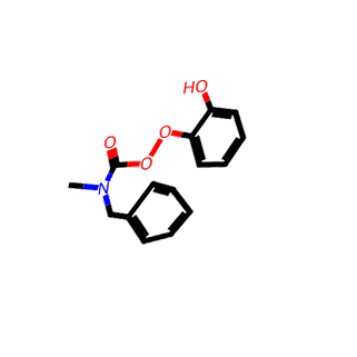 CN(Cc1ccccc1)C(=O)OOc1ccccc1O